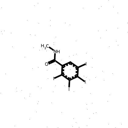 CNC(=O)c1cc(I)c(I)c(I)c1I